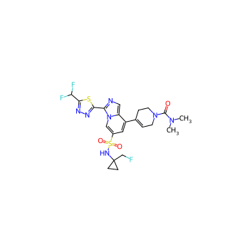 CN(C)C(=O)N1CC=C(c2cc(S(=O)(=O)NC3(CF)CC3)cn3c(-c4nnc(C(F)F)s4)ncc23)CC1